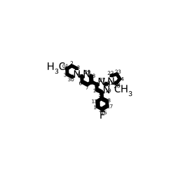 CC1CCN(c2ccc(-c3cc(-c4ccc(F)cc4)nc(N4CCCC4C)n3)cn2)CC1